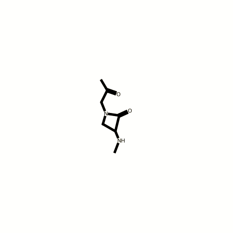 CNC1CN(CC(C)=O)C1=O